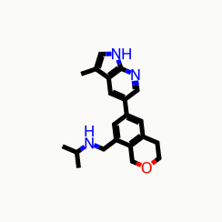 Cc1c[nH]c2ncc(-c3cc4c(c(CNC(C)C)c3)COCC4)cc12